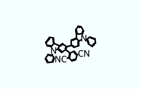 N#Cc1ccc(C#N)c(-c2cc3c(cc2-c2ccc4c(c2)c2ccccc2n4-c2ccccc2)c2ccccc2n3-c2ccccc2)c1